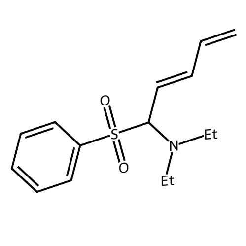 C=CC=CC(N(CC)CC)S(=O)(=O)c1ccccc1